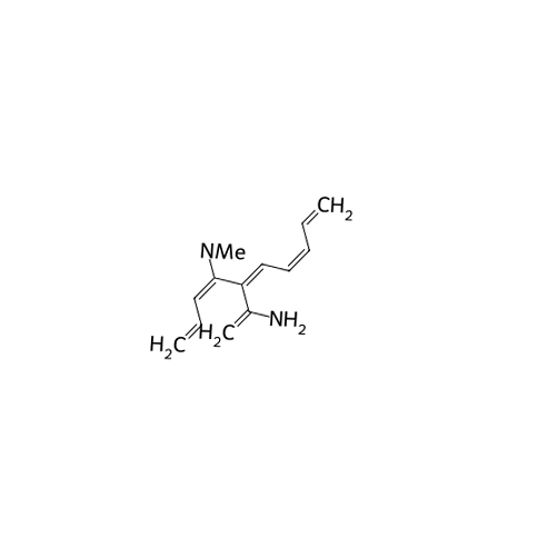 C=C\C=C/C=C(C(=C)N)/C(=C\C=C)NC